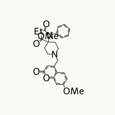 CCC(=O)N(c1ccccc1)C1(C(=O)OC)CCN(Cc2cc(=O)oc3cc(OC)ccc23)CC1